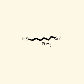 SCCCCCCS.[PbH2]